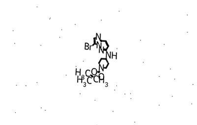 CC(C)(C)OC(=O)N1CCC(Nc2ccc3ncc(Br)n3n2)CC1